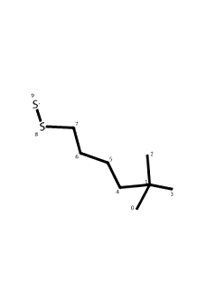 CC(C)(C)CCCCS[S]